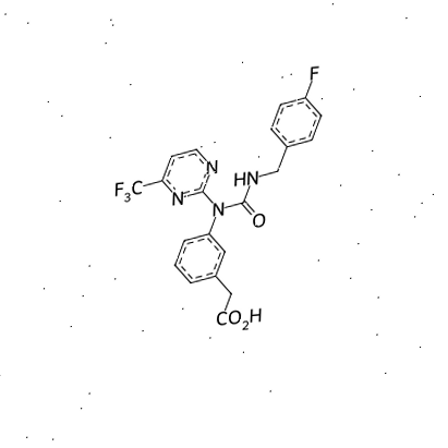 O=C(O)Cc1cccc(N(C(=O)NCc2ccc(F)cc2)c2nccc(C(F)(F)F)n2)c1